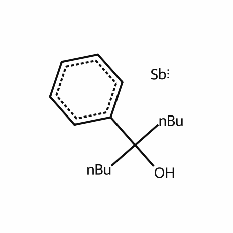 CCCCC(O)(CCCC)c1ccccc1.[Sb]